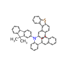 CC1(C)c2ccccc2-c2ccc(N(c3ccc4ccc5sc6ccccc6c5c4c3)c3ccccc3-c3ccc4ccccc4c3)cc21